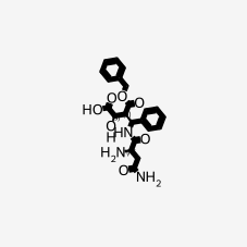 NC(=O)C[C@@H](N)C(=O)NC(c1ccccc1)[C@H](C(=O)OCc1ccccc1)[C@H](O)C(=O)O